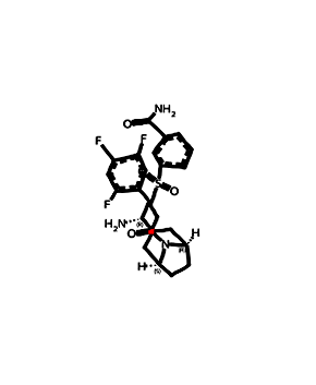 NC(=O)c1cccc(S(=O)(=O)CCC(=O)N2[C@@H]3CC[C@H]2CC([C@H](N)Cc2cc(F)c(F)cc2F)C3)c1